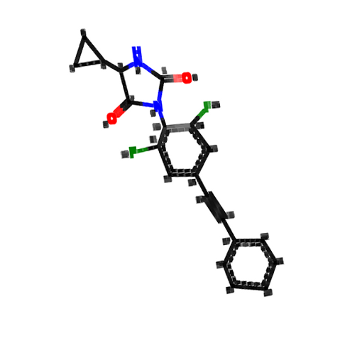 O=C1NC(C2CC2)C(=O)N1c1c(F)cc(C#Cc2ccccc2)cc1F